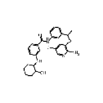 CC(Oc1cc(Cl)cnc1N)c1cccc(NC(=O)c2cccc(NC3CCCCC3O)c2)c1